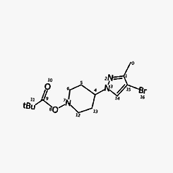 Cc1nn(C2CCN(OC(=O)C(C)(C)C)CC2)cc1Br